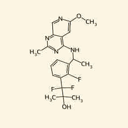 COc1cc2c(NC(C)c3cccc(C(F)(F)C(C)(C)O)c3F)nc(C)nc2cn1